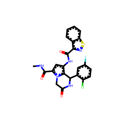 CNC(=O)c1cc(NC(=O)c2nsc3ccccc23)c2n1CC(=O)NC2c1cc(F)ccc1Cl